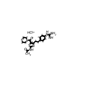 CC(=O)Nc1nc(CCc2ccc(NC(=N)N)cc2)c(C(=O)N2CCSCC2)s1.Cl